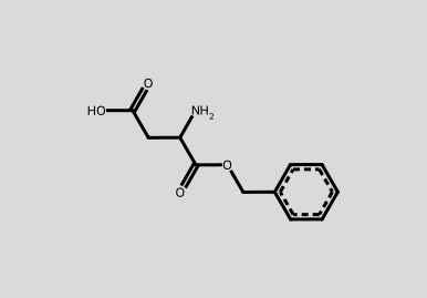 NC(CC(=O)O)C(=O)OCc1ccccc1